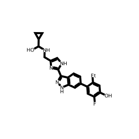 CCc1cc(O)c(F)cc1-c1ccc2c(-c3nc(CNC(O)C4CC4)c[nH]3)n[nH]c2c1